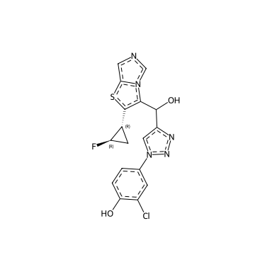 Oc1ccc(-n2cc(C(O)c3c([C@@H]4C[C@H]4F)sc4cncn34)nn2)cc1Cl